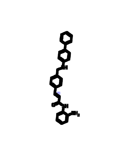 Nc1ccccc1NC(=O)/C=C/c1ccc(CNc2ccc(-c3ccccc3)cc2)cc1